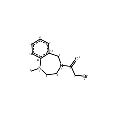 CN1CCN(C(=O)CBr)Cc2ccccc21